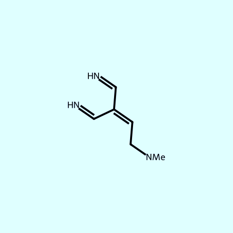 CNCC=C(C=N)C=N